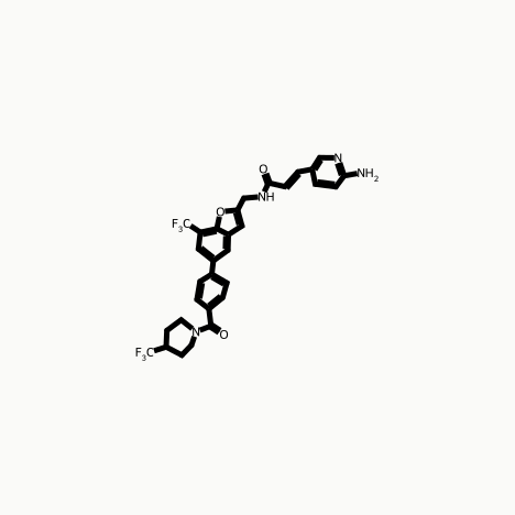 Nc1ccc(C=CC(=O)NCc2cc3cc(-c4ccc(C(=O)N5CCC(C(F)(F)F)CC5)cc4)cc(C(F)(F)F)c3o2)cn1